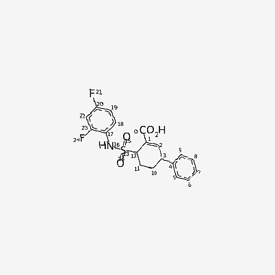 O=C(O)C1=CC(c2ccccc2)CCC1S(=O)(=O)Nc1ccc(F)cc1F